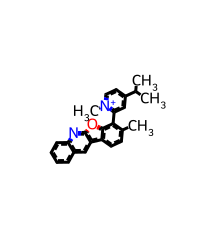 Cc1ccc2c(oc3nc4ccccc4cc32)c1-c1cc(C(C)C)cc[n+]1C